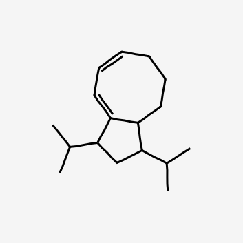 CC(C)C1CC(C(C)C)C2CCC/C=C\C=C\12